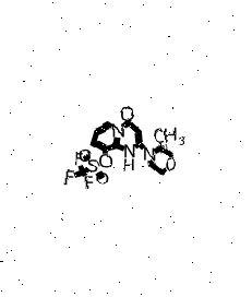 C[C@@H]1COCCN1C1=CC(=O)N2C=CC=C(OS(=O)(=O)C(F)(F)F)C2N1